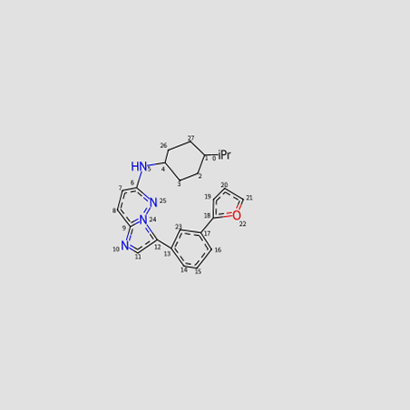 CC(C)C1CCC(Nc2ccc3ncc(-c4cccc(-c5ccco5)c4)n3n2)CC1